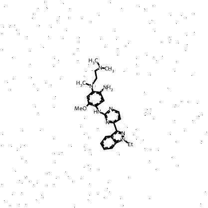 CCn1nc(-c2ccnc(Nc3cc(N)c(N(C)CCN(C)C)cc3OC)n2)c2ccccc21